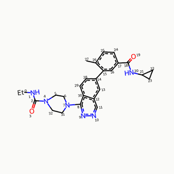 CCNC(=O)N1CCN(c2nncc3cc(-c4cc(C(=O)NC5CC5)ccc4C)ccc23)CC1